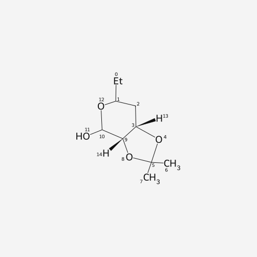 CCC1C[C@@H]2OC(C)(C)O[C@@H]2C(O)O1